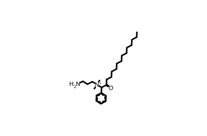 CCCCCCCCCCCCCC(=O)C(c1ccccc1)[N+](C)(C)CCCN